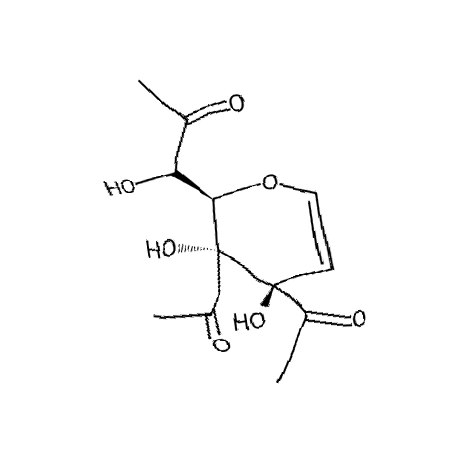 CC(=O)C(O)[C@H]1OC=C[C@](O)(C(C)=O)[C@@]1(O)C(C)=O